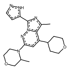 Cc1nc(-c2ccn[nH]2)n2nc(N3CCOCC3C)cc(C3CCOCC3)c12